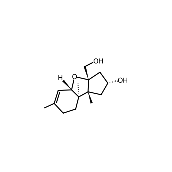 CC1=C[C@@H]2O[C@]3(CO)C[C@H](O)C[C@]3(C)[C@@]2(C)CC1